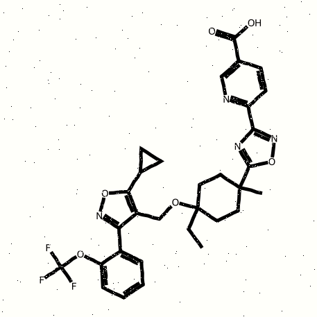 CCC1(OCc2c(-c3ccccc3OC(F)(F)F)noc2C2CC2)CCC(C)(c2nc(-c3ccc(C(=O)O)cn3)no2)CC1